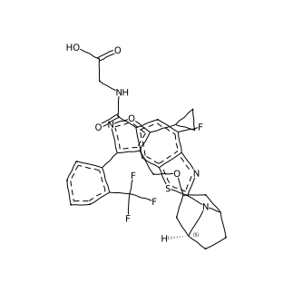 O=C(O)CNC(=O)c1cc(F)c2nc(N3C4CC[C@H]3CC(OCc3c(-c5ccccc5C(F)(F)F)noc3C3CC3)C4)sc2c1